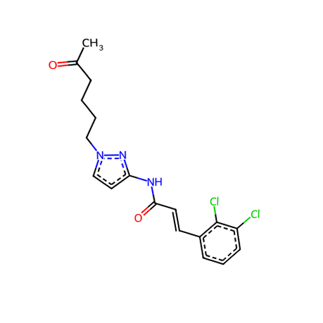 CC(=O)CCCCn1ccc(NC(=O)/C=C/c2cccc(Cl)c2Cl)n1